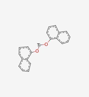 c1ccc2c([O][Ti][O]c3cccc4ccccc34)cccc2c1